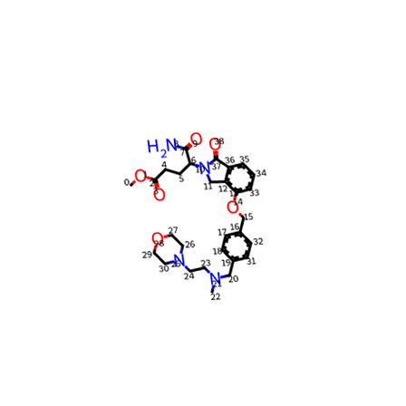 COC(=O)CCC(C(N)=O)N1Cc2c(OCc3ccc(CN(C)CCN4CCOCC4)cc3)cccc2C1=O